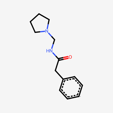 O=C(Cc1cc[c]cc1)NCN1CCCC1